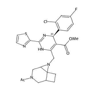 COC(=O)C1=C(CN2C3CN(C(C)=O)CC4CCC432)NC(c2nccs2)=N[C@H]1c1ccc(F)cc1Cl